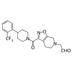 O=CCN1CCc2c(C(=O)N3CCC(c4ccccc4C(F)(F)F)CC3)noc2C1